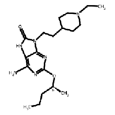 CCC[C@H](C)Oc1nc(N)c2[nH]c(=O)n(CCC3CCN(CC)CC3)c2n1